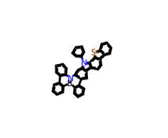 c1ccc(-n2c3cc4c(cc3c3ccc5c6ccccc6sc5c32)-c2ccccc2B2c3ccccc3-c3ccccc3N24)cc1